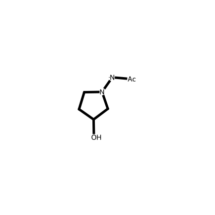 CC(=O)[N]N1CCC(O)C1